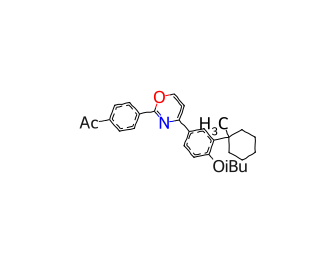 CC(=O)c1ccc(C2=NC(c3ccc(OCC(C)C)c(C4(C)CCCCC4)c3)=C=CO2)cc1